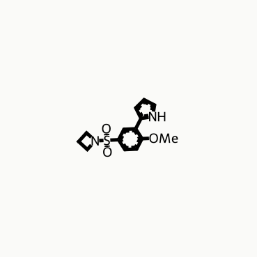 COc1ccc(S(=O)(=O)N2CCC2)cc1-c1ccc[nH]1